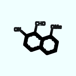 COc1cccc2ccc(N=O)c(C=O)c12